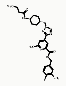 COCCC(=O)N[C@H]1CC[C@H](Cn2nnc(-c3cc(C)nc(C(=O)NCc4ccc(F)c(C)c4)c3)n2)CC1